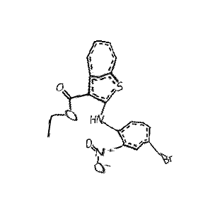 CCOC(=O)c1c(Nc2ccc(Br)cc2[N+](=O)[O-])sc2ccccc12